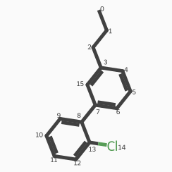 CCCc1cccc(-c2ccccc2Cl)c1